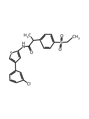 CCS(=O)(=O)c1ccc(C(C)C(=O)Nc2cc(-c3cccc(Cl)c3)cs2)cc1